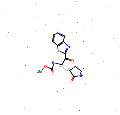 CC(C)(C)OC(=O)N[C@@H](C[C@@H]1CCNC1=O)C(=O)c1nc2cnccc2s1